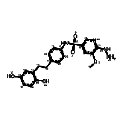 COc1cc(S(=O)(=O)Nc2ccc(CCc3cc(O)ccc3O)cc2)cnc1NN